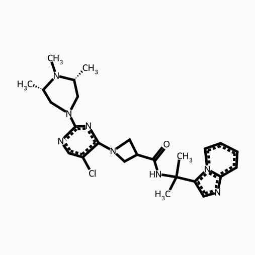 C[C@@H]1CN(c2ncc(Cl)c(N3CC(C(=O)NC(C)(C)c4cnc5ccccn45)C3)n2)C[C@H](C)N1C